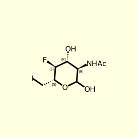 CC(=O)N[C@H]1C(O)O[C@H](CI)[C@@H](F)[C@@H]1O